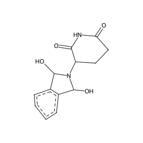 O=C1CCC(N2C(O)c3ccccc3C2O)C(=O)N1